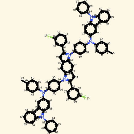 Cc1ccc(N(c2ccc(-n3c(-c4cccc(F)c4)cc4cc5c(cc(-c6cccc(F)c6)n5-c5ccc(N(c6ccc(C)cc6)c6ccc7c(c6)c6ccccc6n7-c6ccccc6)cc5)cc43)cc2)c2ccc3c(c2)c2ccccc2n3-c2ccccc2)cc1